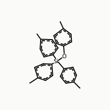 Cc1ccc(O[Si](c2ccc(C)cc2)(c2ccc(C)cc2)c2ccc(C)cc2)cc1